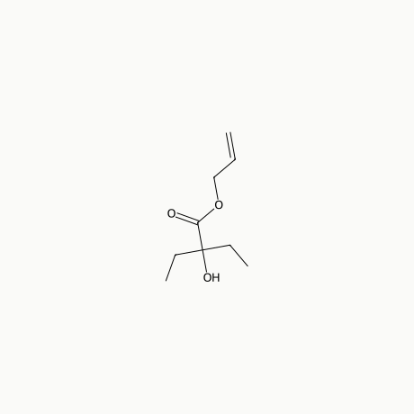 C=CCOC(=O)C(O)(CC)CC